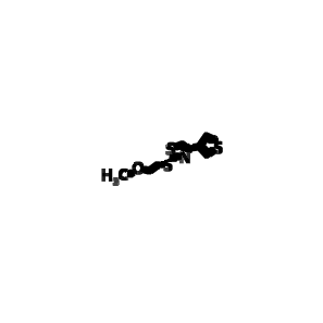 CCOCCSc1nc(-c2ccsc2)cs1